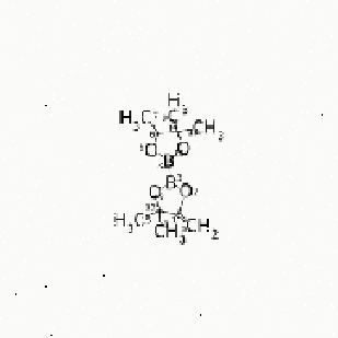 C=C1OB(B2OC(C)C(C)(C)O2)OC1(C)C